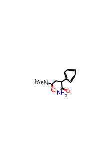 CNC(=O)[CH]C(C(N)=O)c1ccccc1